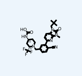 Cn1c(=O)n(CC(C)(C)C)c2ccc(-c3cc(CN4CC[C@H](NC(=O)O)C[C@H]4C(F)(F)F)ccc3C#N)nc21